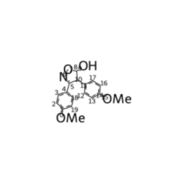 COc1ccc(C2=NOC(O)C2c2ccc(OC)cc2)cc1